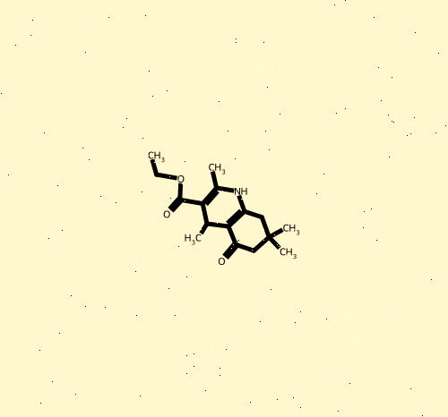 CCOC(=O)C1=C(C)NC2=C(C(=O)CC(C)(C)C2)C1C